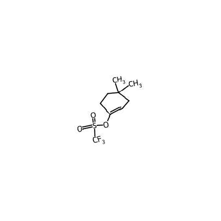 CC1(C)CC=C(OS(=O)(=O)C(F)(F)F)CC1